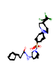 O=C(CCc1ccccc1)NC1CCCN(S(=O)(=O)c2ccc(N3CCC(C(F)(F)F)CC3)cc2)C1